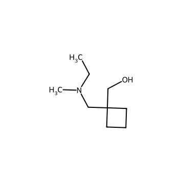 CCN(C)CC1(CO)CCC1